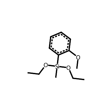 CCO[Si](C)(OCC)c1ccccc1OC